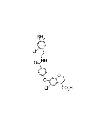 Bc1ccc(CCNC(=O)c2ccc(Oc3cc4c(cc3Cl)C(C(=O)O)CCO4)cc2)c(Cl)c1